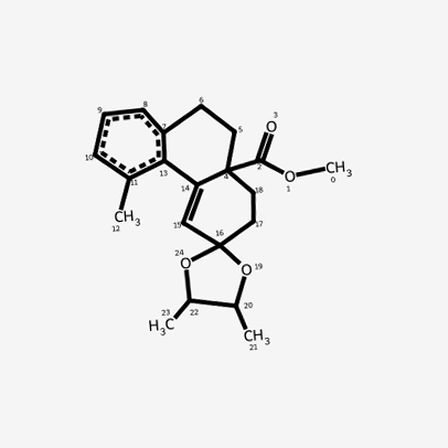 COC(=O)C12CCc3cccc(C)c3C1=CC1(CC2)OC(C)C(C)O1